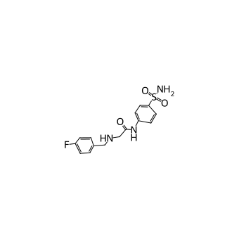 NS(=O)(=O)c1ccc(NC(=O)CNCc2ccc(F)cc2)cc1